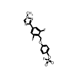 Cn1cnc(-c2cc(F)c(COc3ccc(OS(=O)(=O)F)cc3)c(F)c2)n1